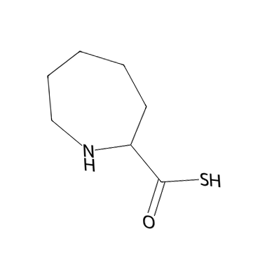 O=C(S)C1CCCCCN1